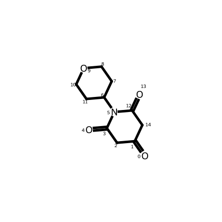 O=C1CC(=O)N(C2CCOCC2)C(=O)C1